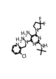 CC(C)(C)Nc1nc(N(N)Cc2ncccc2Cl)c(N)c(N2CCC(F)(F)C2)n1